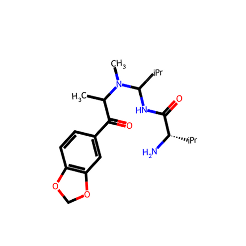 CC(C)C(NC(=O)[C@@H](N)C(C)C)N(C)C(C)C(=O)c1ccc2c(c1)OCO2